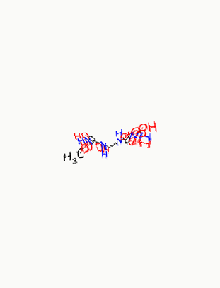 CCOC(=O)Oc1cc2c(C(O)CNCCCCCCNCC(O)c3ccc(O)c4[nH]c(OC(=O)O)cc34)ccc(O)c2[nH]1